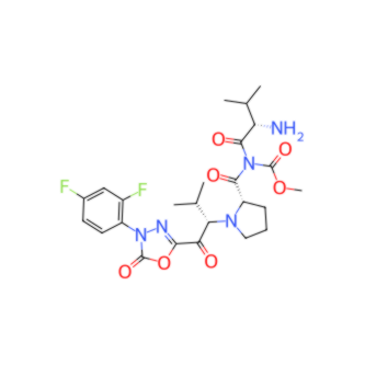 COC(=O)N(C(=O)[C@@H](N)C(C)C)C(=O)[C@@H]1CCCN1[C@H](C(=O)c1nn(-c2ccc(F)cc2F)c(=O)o1)C(C)C